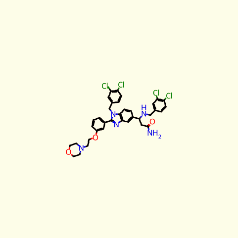 NC(=O)CC(NCc1ccc(Cl)c(Cl)c1)c1ccc2c(c1)nc(-c1cccc(OCCN3CCOCC3)c1)n2Cc1ccc(Cl)c(Cl)c1